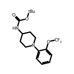 CC(C)(C)OC(=O)NC1CCN(c2ccccc2OC(F)(F)F)CC1